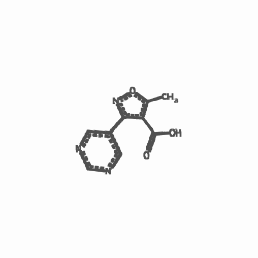 Cc1onc(-c2cncnc2)c1C(=O)O